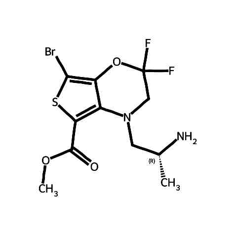 COC(=O)c1sc(Br)c2c1N(C[C@@H](C)N)CC(F)(F)O2